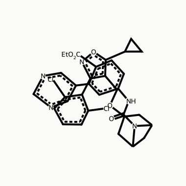 CCOC(=O)c1ccc(NC(=O)N2C3CC(OCc4c(-c5c(Cl)cccc5Cl)noc4C4CC4)CC2C3)cc1-c1cncnc1